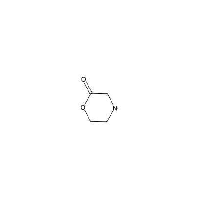 O=C1C[N]CCO1